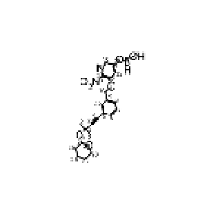 CC(C)(C#Cc1cccc(COc2cc(OBO)cnc2[N+](=O)[O-])c1)OC1CCCCO1